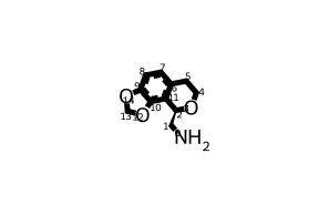 NC[C@@H]1OCCc2ccc3c(c21)OCO3